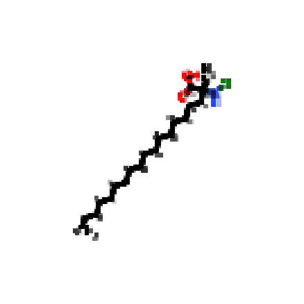 CCCCCCCCCCCCCCCCCC(C)(NCl)C(=O)O